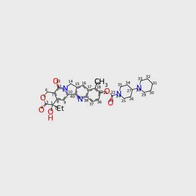 CC[C@@]1(O)C(=O)OCc2c1cc1n(c2=O)Cc2cc3c(C)c(OC(=O)N4CCC(N5CCCCC5)CC4)ccc3nc2-1